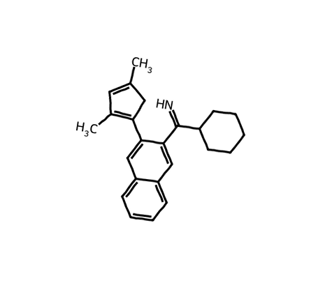 CC1=CC(C)=C(c2cc3ccccc3cc2C(=N)C2CCCCC2)C1